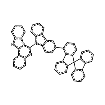 c1ccc2c(c1)-c1ccccc1C21c2ccccc2-c2c(-c3ccc4c(c3)c3ccccc3n4-c3nc4ccccc4c4nc5ccccc5n34)cccc21